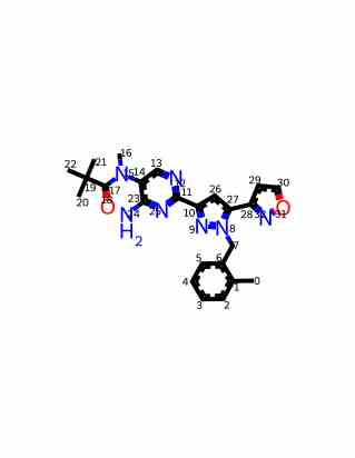 Cc1ccccc1Cn1nc(-c2ncc(N(C)C(=O)C(C)(C)C)c(N)n2)cc1-c1ccon1